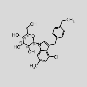 CCc1ccc(Cc2cn([C@@H]3O[C@H](CO)[C@@H](O)[C@H](O)[C@H]3O)c3cc(C)cc(Cl)c23)cc1